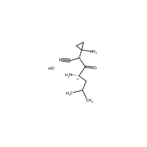 CC(C)C[C@H](N)C(=O)N(C#N)C1(N)CC1.Cl